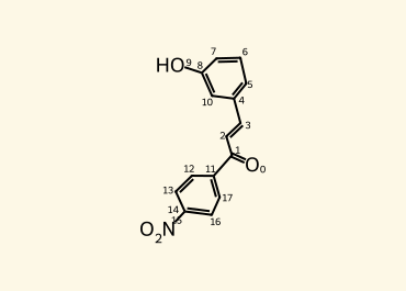 O=C(C=Cc1cccc(O)c1)c1ccc([N+](=O)[O-])cc1